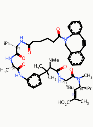 CNC(C(=O)N[C@H](C(=O)N(C)[C@H](/C=C(\C)C(=O)O)C(C)C)C(C)(C)C)C(C)(C)c1cccc(NC(=O)[C@H](C)NC(=O)[C@@H](NC(=O)CCCCC(=O)N2Cc3ccccc3C#Cc3ccccc32)C(C)C)c1